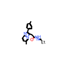 CCC=NNC(=O)Cc1c(-c2ccc(C)cc2)nc2ccc(C)cn12